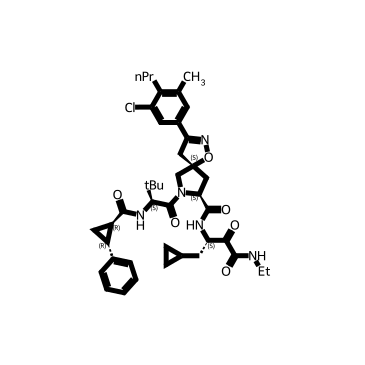 CCCc1c(C)cc(C2=NO[C@]3(C2)C[C@@H](C(=O)N[C@@H](CC2CC2)C(=O)C(=O)NCC)N(C(=O)[C@@H](NC(=O)[C@@H]2C[C@H]2c2ccccc2)C(C)(C)C)C3)cc1Cl